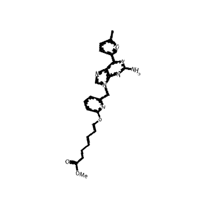 COC(=O)CCCCCCOc1cccc(Cn2cnc3c(-c4ccc(C)o4)nc(N)nc32)n1